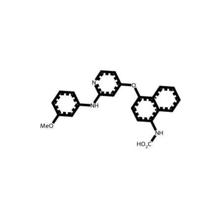 COc1cccc(Nc2cc(Oc3ccc(NC(=O)O)c4ccccc34)ccn2)c1